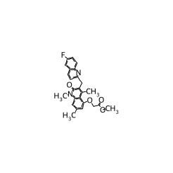 COC(=O)COc1cc(C)cc2c1c(C)c(Cc1ccc3cc(F)ccc3n1)c(=O)n2C